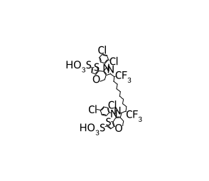 O=S(=O)(O)c1cc2c(s1)-c1c(c(C(CCCCCCCCC(c3nn(-c4ccc(Cl)cc4Cl)c4c3CCOc3cc(S(=O)(=O)O)sc3-4)C(F)(F)F)C(F)(F)F)nn1-c1ccc(Cl)cc1Cl)CCO2